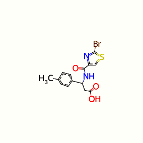 Cc1ccc(C(CC(=O)O)NC(=O)c2csc(Br)n2)cc1